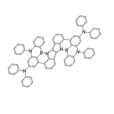 c1ccc(N(c2ccccc2)c2cc3c4c(c2)N(c2ccccc2)c2ccccc2B4n2c4c-3cccc4c3c2c2cccc4c2n3B2c3ccccc3N(c3ccccc3)c3cc(N(c5ccccc5)c5ccccc5)cc-4c32)cc1